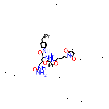 CC(C)Cc1ccc(NC(=O)C(CCCNC(N)=O)NC(=O)C(NC(=O)CCCCN2C(=O)C=CC2=O)C(C)C)cc1